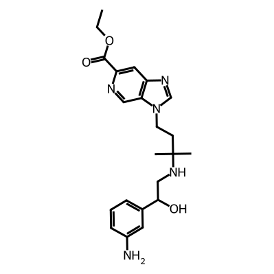 CCOC(=O)c1cc2ncn(CCC(C)(C)NCC(O)c3cccc(N)c3)c2cn1